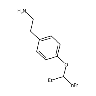 CCCC(CC)Oc1ccc(CCN)cc1